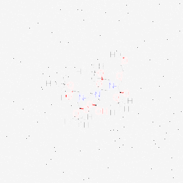 COCCOCC(C(=O)OC(C)(C)C)N(CCN(CCN(CC(=O)OC(C)(C)C)CC(=O)OC(C)(C)C)CC(=O)O)CC(=O)OC(C)(C)C